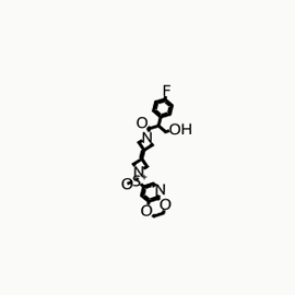 O=C(C(CO)c1ccc(F)cc1)N1CC(=C2CN([S+]([O-])c3cnc4c(c3)OCCO4)C2)C1